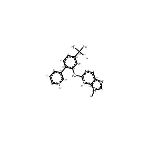 Cn1cnc2cnc(Oc3cc(C(F)(F)F)ccc3-c3cccnc3)nc21